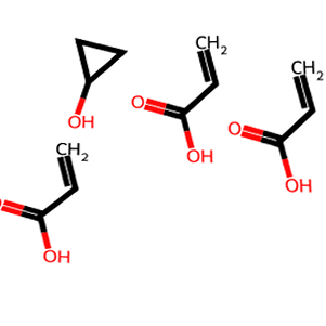 C=CC(=O)O.C=CC(=O)O.C=CC(=O)O.OC1CC1